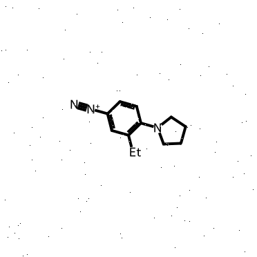 CCc1cc([N+]#N)ccc1N1CCCC1